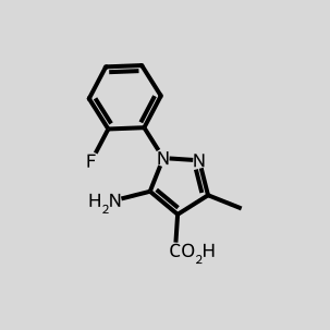 Cc1nn(-c2ccccc2F)c(N)c1C(=O)O